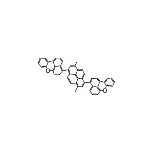 Cc1cc(-c2ccc3c4c(cccc24)-c2ccccc2O3)c2ccc3c(C)cc(-c4ccc5c6c(cccc46)Oc4ccccc4-5)c4ccc1c2c34